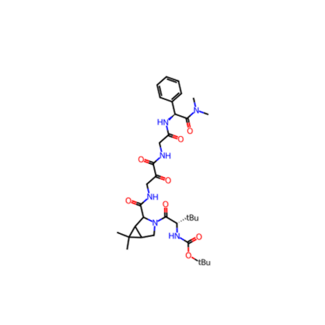 CN(C)C(=O)[C@@H](NC(=O)CNC(=O)C(=O)CNC(=O)C1C2C(CN1C(=O)[C@@H](NC(=O)OC(C)(C)C)C(C)(C)C)C2(C)C)c1ccccc1